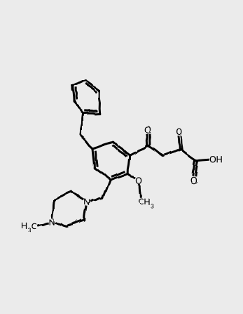 COc1c(CN2CCN(C)CC2)cc(Cc2ccccc2)cc1C(=O)CC(=O)C(=O)O